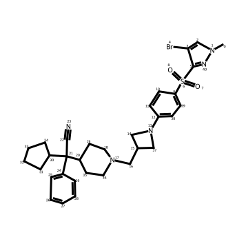 Cn1cc(Br)c(S(=O)(=O)c2ccc(N3CC(CN4CCC(C(C#N)(c5ccccc5)C5CCCC5)CC4)C3)cc2)n1